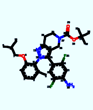 Cc1cccc(OCC(C)C)c1-n1nc2c(c1-c1cc(F)c(N)cc1F)CN(C(=O)OC(C)(C)C)CC2